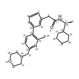 C[C@H](NC(=O)Cc1cccc(-c2ccc(CN3CCOCC3)nc2F)c1)C1CCCCC1